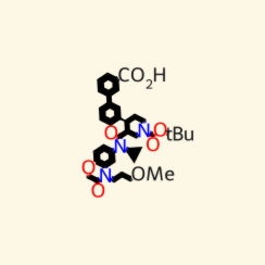 COCCCN1C(=O)COc2ccc(N(C(=O)C3CN(C(=O)OC(C)(C)C)CC[C@@H]3c3cccc(-c4cccc(C(=O)O)c4)c3)C3CC3)cc21